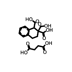 O=C(O)C1c2ccccc2CCC1(C(=O)O)C(=O)O.O=C(O)CCC(=O)O